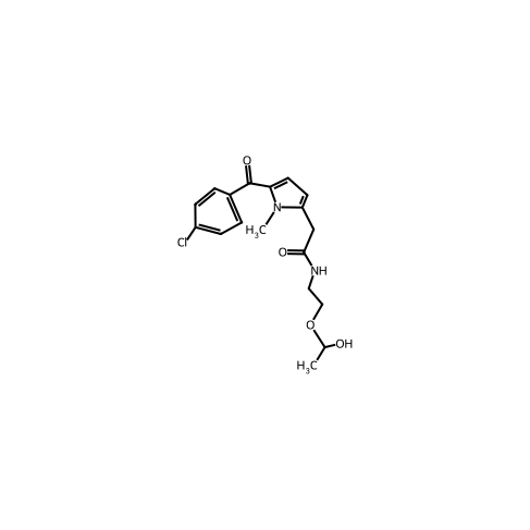 CC(O)OCCNC(=O)Cc1ccc(C(=O)c2ccc(Cl)cc2)n1C